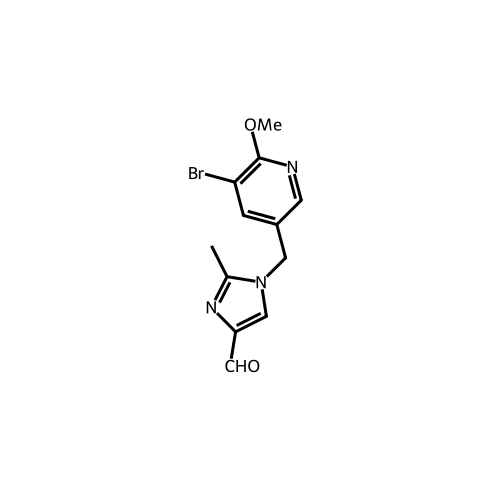 COc1ncc(Cn2cc(C=O)nc2C)cc1Br